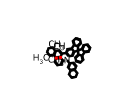 CC1(C)CCC(C)(C)c2cc(-c3cc4c(cc3N(c3ccccc3)c3ccc5c(c3)CCCC5)C3(c5ccccc5-c5ccccc53)c3ccccc3-4)ccc21